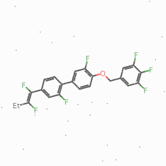 CC/C(F)=C(\F)c1ccc(-c2ccc(OCc3cc(F)c(F)c(F)c3)c(F)c2)c(F)c1